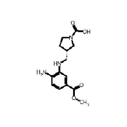 COC(=O)c1ccc(N)c(NC[C@@H]2CCN(C(=O)O)C2)c1